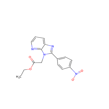 CCOC(=O)Cn1c(-c2ccc([N+](=O)[O-])cc2)nc2cccnc21